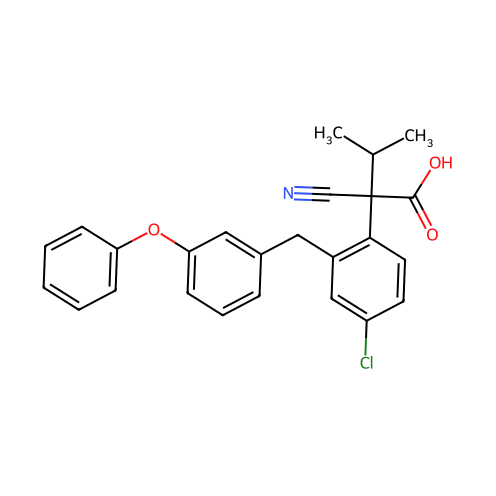 CC(C)C(C#N)(C(=O)O)c1ccc(Cl)cc1Cc1cccc(Oc2ccccc2)c1